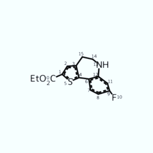 CCOC(=O)c1cc2c(s1)-c1ccc(F)cc1NCC2